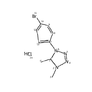 CC1N(C)N=NN1c1ccc(Br)cc1.Cl